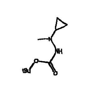 CN(NC(=O)OC(C)(C)C)C1CC1